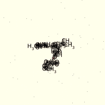 CCCN(CCC)CCCCC(NC(=O)C(NC(=O)CCCCCn1cc(-c2cnc(S(C)(=O)=O)nc2)nn1)C(C)C)C(=O)NCC(=O)NCOCCCc1c2c(nc3cc4c(cc13)OCO4)-c1cc3c(c(=O)n1C2)COC(=O)[C@]3(O)CC